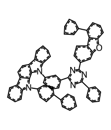 c1ccc(-c2ccc(-n3c4ccccc4c4ccc5c6ccccc6n(-c6cccc(-c7nc(-c8ccccc8)nc(-c8ccc9c(c8)oc8cccc(-c%10ccccc%10)c89)n7)c6)c5c43)cc2)cc1